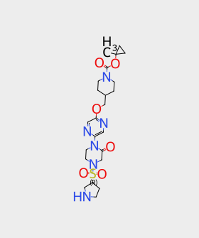 CC1(OC(=O)N2CCC(COc3cnc(N4CCN(S(=O)(=O)[C@@H]5CCNC5)CC4=O)cn3)CC2)CC1